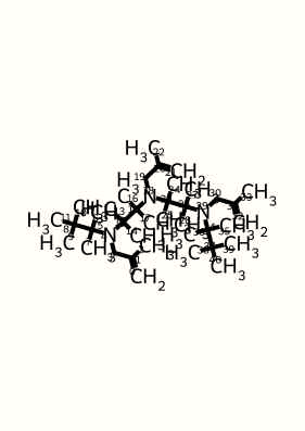 C=C(C)CN(C(C)(C)C(C)(C)C)C(C)(C)C(C)(C)N(CC(=C)C)C(C)(C)C(C)(C)N(CC(=C)C)C(C)(C)C(C)(C)C